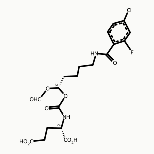 O=CO[C@H](CCCCNC(=O)c1ccc(Cl)cc1F)OC(=O)N[C@@H](CCC(=O)O)C(=O)O